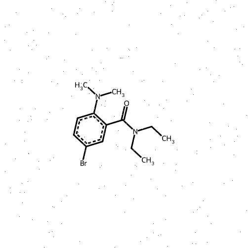 CCN(CC)C(=O)c1cc(Br)ccc1N(C)C